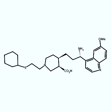 COc1ccc2nccc([C@@H](N)CC[C@@H]3CCN(CCSC4CCCCC4)C[C@@H]3C(=O)O)c2c1